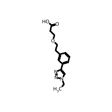 CCn1cc(-c2cccc(CCOCCC(=O)O)c2)nn1